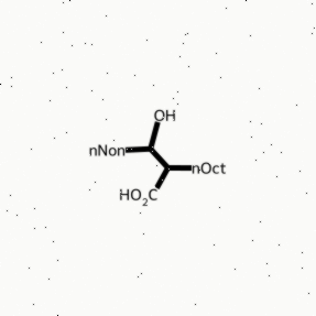 CCCCCCCCCC(O)C(CCCCCCCC)C(=O)O